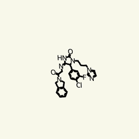 O=C(CN=C1NC(=O)N(CCCn2ccnc2)C1c1ccc(Cl)c(F)c1)N1Cc2ccccc2C1